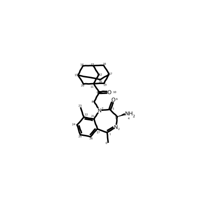 CC1=N[C@H](N)C(=O)N(CC(=O)C23CC4CC(CC(C4)C2)C3)c2c(C)cccc21